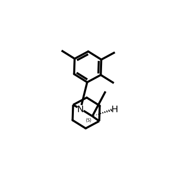 Cc1cc(C)c(C)c(N2C3CCC(CC3)[C@@H]2C)c1